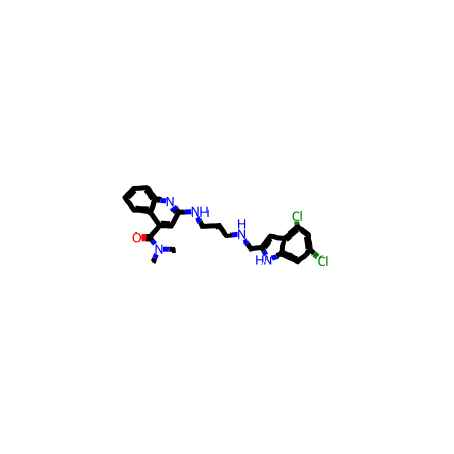 CN(C)C(=O)c1cc(NCCCNCc2cc3c(Cl)cc(Cl)cc3[nH]2)nc2ccccc12